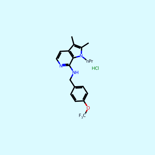 CCCn1c(C)c(C)c2ccnc(NCc3ccc(OC(F)(F)F)cc3)c21.Cl